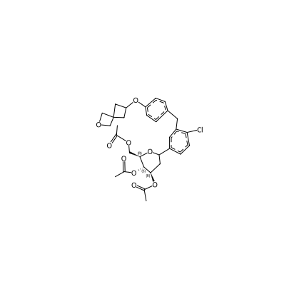 CC(=O)OC[C@H]1OC(c2ccc(Cl)c(Cc3ccc(OC4CC5(COC5)C4)cc3)c2)C[C@@H](OC(C)=O)[C@@H]1OC(C)=O